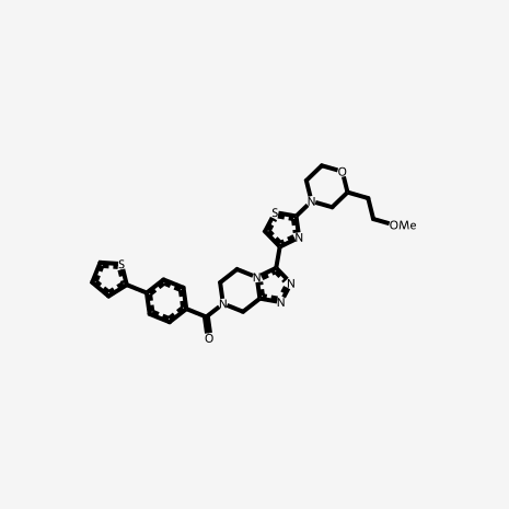 COCCC1CN(c2nc(-c3nnc4n3CCN(C(=O)c3ccc(-c5cccs5)cc3)C4)cs2)CCO1